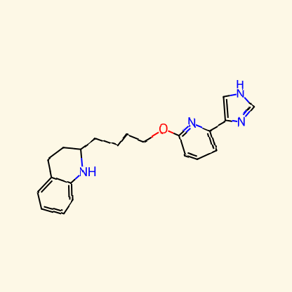 c1cc(OCCCCC2CCc3ccccc3N2)nc(-c2c[nH]cn2)c1